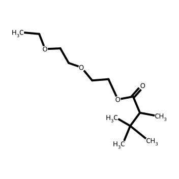 CCOCCOCCOC(=O)C(C)C(C)(C)C